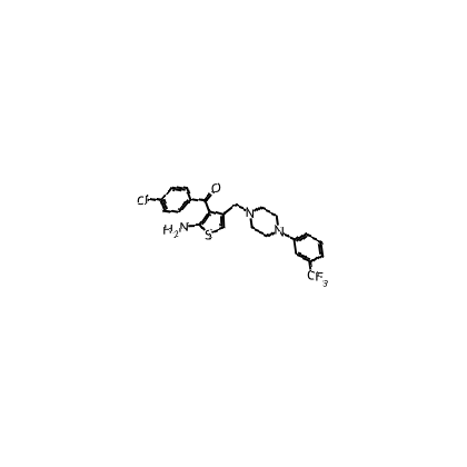 Nc1scc(CN2CCN(c3cccc(C(F)(F)F)c3)CC2)c1C(=O)c1ccc(Cl)cc1